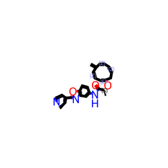 C=C1/C=C\C=C/C/C(O[C@@H](C)C(=O)Nc2ccc3oc(-c4ccncc4)nc3c2)=C\C=C/1